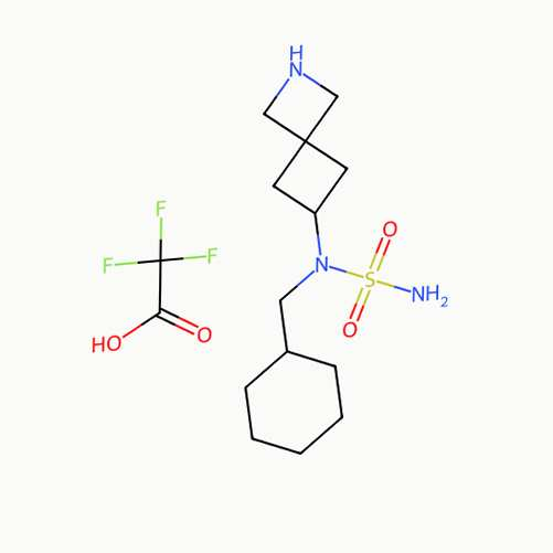 NS(=O)(=O)N(CC1CCCCC1)C1CC2(CNC2)C1.O=C(O)C(F)(F)F